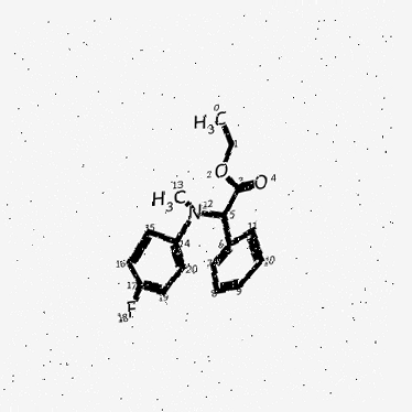 CCOC(=O)C(c1ccccc1)N(C)c1ccc(F)cc1